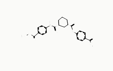 COC(=O)c1ccc(NC(=O)[C@@H]2CCC[C@H](C(=O)Nc3ccc(C(=O)OC)cc3)C2)cc1